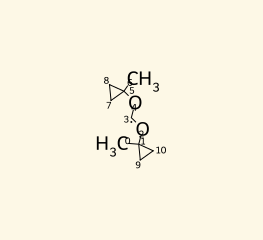 CC1(O[CH]OC2(C)CC2)CC1